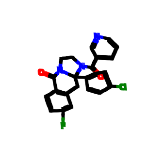 O=C(c1cccnc1)N1CCN2C(=O)c3ccc(F)cc3CC12c1ccc(Cl)cc1